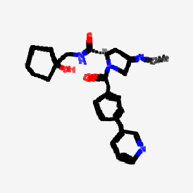 CON=C1C[C@@H](C(=O)NCC2(O)CCCCC2)N(C(=O)c2ccc(-c3cccnc3)cc2)C1